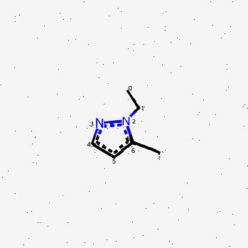 CCn1n[c]cc1C